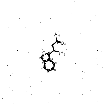 NC(CC(=O)O)c1occ2ccccc12